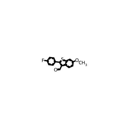 COc1ccc2c(C=O)c(-c3ccc(F)cc3)sc2c1